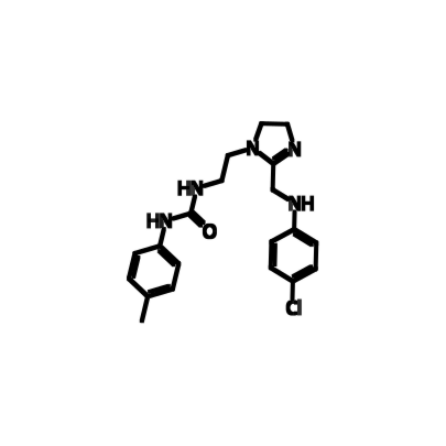 Cc1ccc(NC(=O)NCCN2CCN=C2CNc2ccc(Cl)cc2)cc1